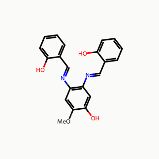 COc1cc(/N=C/c2ccccc2O)c(/N=C/c2ccccc2O)cc1O